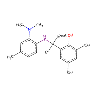 CCCCCC(CC)(Pc1ccc(C)cc1N(C)C)c1cc(C(C)(C)C)cc(C(C)(C)C)c1O